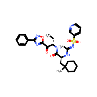 CC[C@H](NC(=O)[C@H](CC1(C)CCCCC1)N/C(C)=N/S(=O)(=O)c1cccnc1)C(=O)c1nc(-c2ccccc2)no1